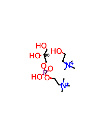 C[N+](C)(C)CCO.C[N+](C)(C)CCOP(=O)(O)OC[C@H](O)CO